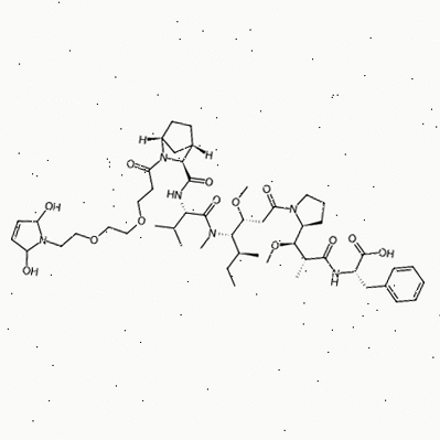 CC[C@H](C)[C@@H]([C@@H](CC(=O)N1CCC[C@H]1[C@H](OC)[C@@H](C)C(=O)N[C@@H](Cc1ccccc1)C(=O)O)OC)N(C)C(=O)[C@@H](NC(=O)[C@@H]1[C@H]2CC[C@H](C2)N1C(=O)CCOCCOCCN1C(O)C=CC1O)C(C)C